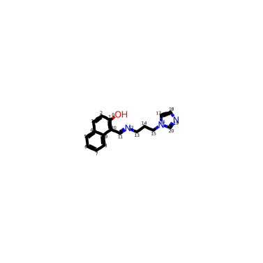 Oc1ccc2ccccc2c1/C=N/CCCn1ccnc1